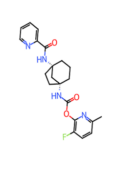 Cc1ccc(F)c(OC(=O)N[C@]23CCC[C@](NC(=O)c4ccccn4)(CC2)C3)n1